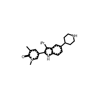 Cc1cc(-c2[nH]c3ccc(C4CCNCC4)cc3c2C(C)C)cn(C)c1=O